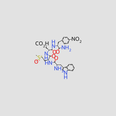 C[S+]([O-])CC[C@H](NC(=O)[C@H](N)Cc1c[nH]c2ccccc12)C(=O)N[C@@H](CC(=O)O)C(=O)N[C@@H](Cc1ccc([N+](=O)[O-])cc1)C(N)=O